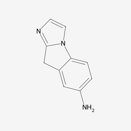 Nc1ccc2c(c1)Cc1nccn1-2